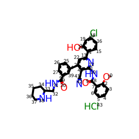 COc1ccccc1C(=O)Nc1nc(-c2ccc(Cl)cc2O)cc(-c2cccc(C(=O)NCC3CCCCN3)c2)c1C#N.Cl